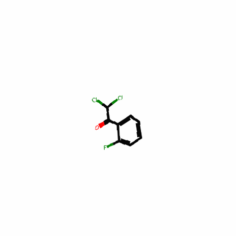 O=C(c1ccccc1F)C(Cl)Cl